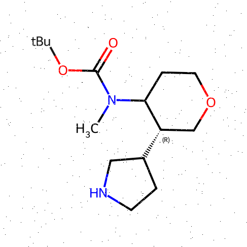 CN(C(=O)OC(C)(C)C)C1CCOC[C@@H]1C1CCNC1